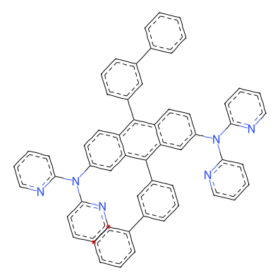 c1ccc(-c2cccc(-c3c4ccc(N(c5ccccn5)c5ccccn5)cc4c(-c4cccc(-c5ccccc5)c4)c4cc(N(c5ccccn5)c5ccccn5)ccc34)c2)cc1